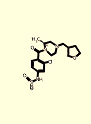 C[C@H]1CN(CC2CCOC2)CCN1C(=O)c1ccc(N[SH](=O)=O)cc1Cl